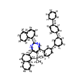 CC1(C)c2c(-c3cccc(-c4cccc(-c5ccc(-c6ccccc6)cc5)c4)c3)nc(-c3cccc4ccccc34)nc2-c2ccc3ccccc3c21